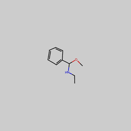 CCNC(OC)c1cc[c]cc1